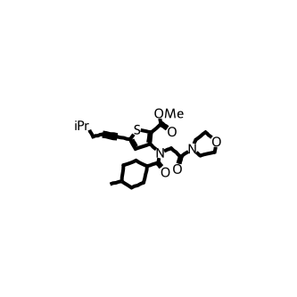 COC(=O)c1sc(C#CCC(C)C)cc1N(CC(=O)N1CCOCC1)C(=O)C1CCC(C)CC1